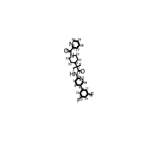 CC(C)(C(=O)Nc1ccc(-c2cc(F)cc(F)c2)cn1)C1CCN(C(=O)c2ccccn2)CC1